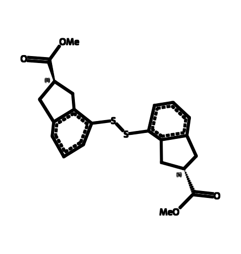 COC(=O)[C@@H]1Cc2cccc(SSc3cccc4c3C[C@@H](C(=O)OC)C4)c2C1